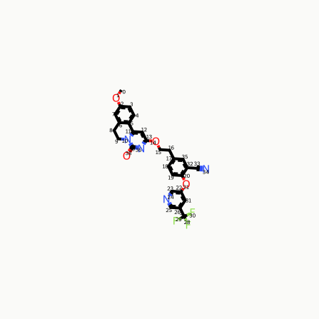 COc1ccc2c(c1)CCn1c-2cc(OCCc2ccc(Oc3cncc(C(F)(F)F)c3)c(C#N)c2)nc1=O